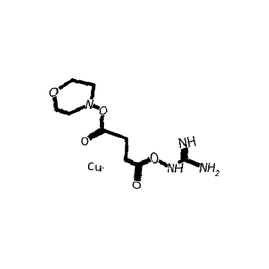 N=C(N)NOC(=O)CCC(=O)ON1CCOCC1.[Cu]